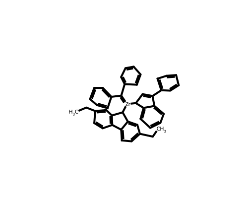 CCc1ccc2c(c1)[CH]([Zr](=[C](c1ccccc1)c1ccccc1)[CH]1C=C(c3ccccc3)c3ccccc31)c1cc(CC)ccc1-2